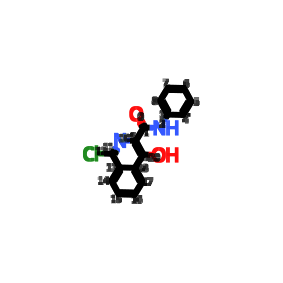 O=C(Nc1[c]cccc1)c1nc(Cl)c2ccccc2c1O